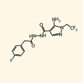 Nc1c(C(=O)NNC(=O)Cc2ccc(F)cc2)cnn1CC(F)(F)F